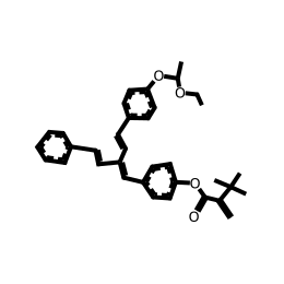 C=C(C(=O)Oc1ccc(C=C(C=Cc2ccccc2)C=Cc2ccc(OC(C)OCC)cc2)cc1)C(C)(C)C